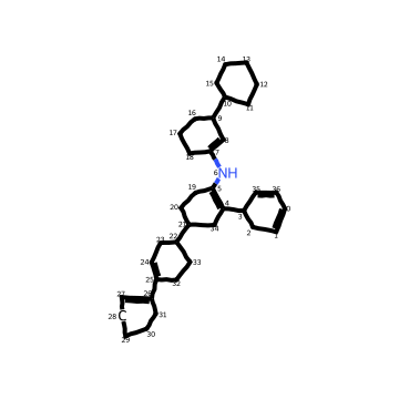 C1=CCC(C2=C(NC3=CC(C4CCCCC4)CCC3)CCC(C3CC=C(C4=CCCCC4)CC3)C2)C=C1